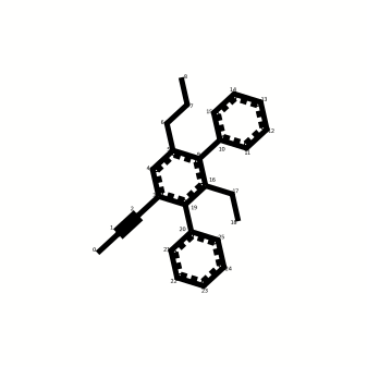 CC#Cc1[c]c(CCC)c(-c2ccccc2)c(CC)c1-c1ccccc1